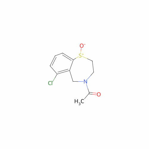 CC(=O)N1CC[S+]([O-])c2cccc(Cl)c2C1